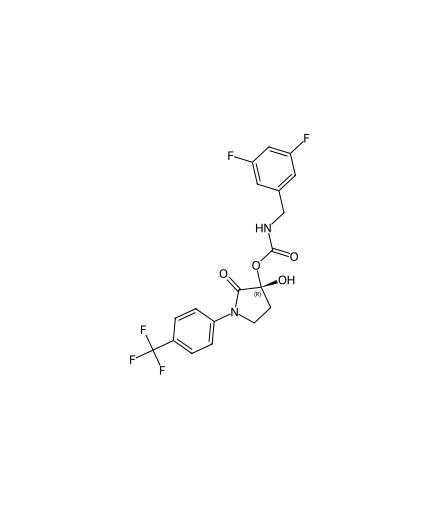 O=C(NCc1cc(F)cc(F)c1)O[C@]1(O)CCN(c2ccc(C(F)(F)F)cc2)C1=O